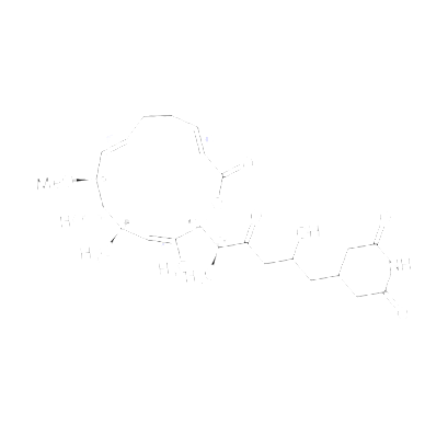 CO[C@H]1/C=C/CC/C=C/C(=O)O[C@H]([C@H](C)C(=O)CC(O)CC2CC(=O)NC(=O)C2)/C(C)=C\[C@@H](C)[C@@H]1O